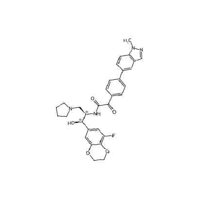 Cn1ncc2cc(-c3ccc(C(=O)C(=O)N[C@H](CN4CCCC4)[C@H](O)c4cc(F)c5c(c4)OCCO5)cc3)ccc21